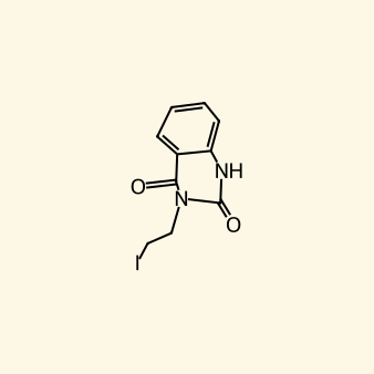 O=c1[nH]c2ccccc2c(=O)n1CCI